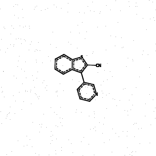 N#Cc1sc2ccccc2c1-c1cccnc1